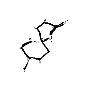 C[C@H]1CC[C@@]2(CCC(=O)O2)CC1